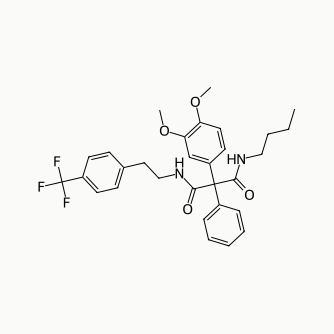 CCCCNC(=O)C(C(=O)NCCc1ccc(C(F)(F)F)cc1)(c1ccccc1)c1ccc(OC)c(OC)c1